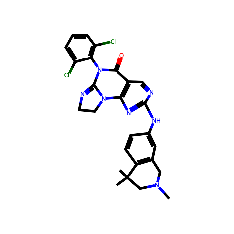 CN1Cc2cc(Nc3ncc4c(n3)N3CCN=C3N(c3c(Cl)cccc3Cl)C4=O)ccc2C(C)(C)C1